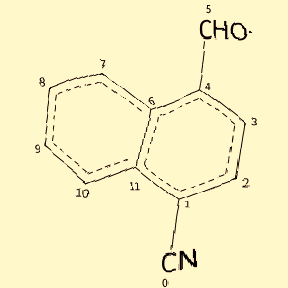 N#Cc1ccc([C]=O)c2ccccc12